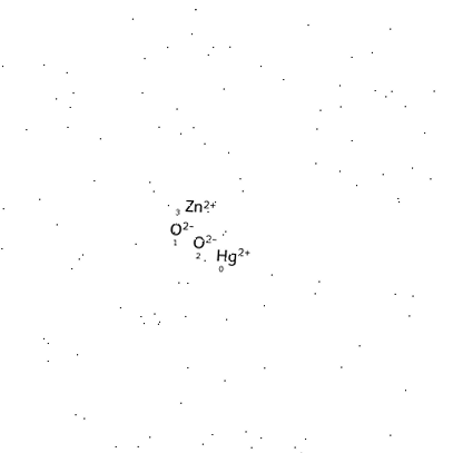 [Hg+2].[O-2].[O-2].[Zn+2]